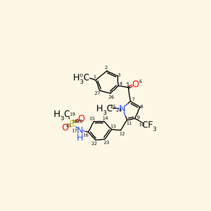 Cc1ccc(C(=O)c2cc(C(F)(F)F)c(Cc3ccc(NS(C)(=O)=O)cc3)n2C)cc1